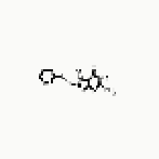 Nc1nc2nc(N=Nc3ccccc3)[nH]c2c(=O)[nH]1